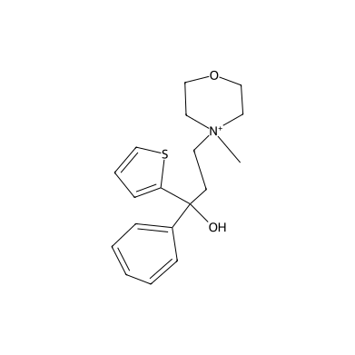 C[N+]1(CCC(O)(c2ccccc2)c2cccs2)CCOCC1